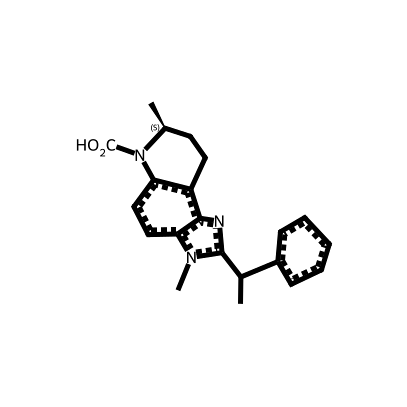 CC(c1ccccc1)c1nc2c3c(ccc2n1C)N(C(=O)O)[C@@H](C)CC3